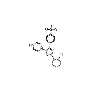 CS(=O)(=O)c1ccc(-c2sc(-c3ccccc3Cl)nc2N2C=CNC=C2)cc1